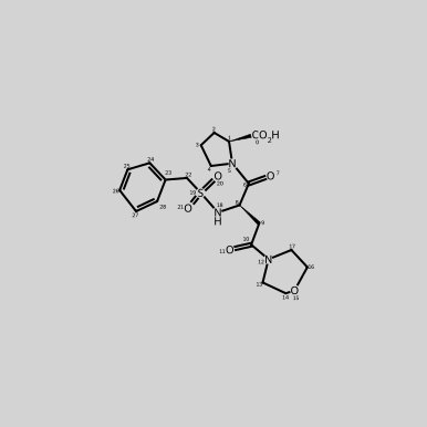 O=C(O)[C@@H]1CCCN1C(=O)[C@@H](CC(=O)N1CCOCC1)NS(=O)(=O)Cc1ccccc1